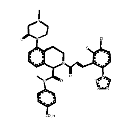 CN1CCN(c2cccc3c2CCN(C(=O)C=Cc2c(-n4cnnn4)ccc(Cl)c2F)C3C(=O)N(C)c2ccc(C(=O)O)cc2)C(=O)C1